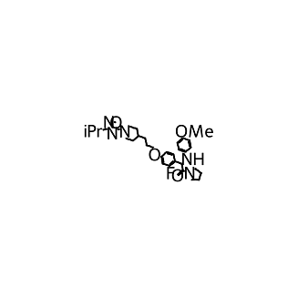 COc1ccc(NC(C(=O)N2CCCC2)c2ccc(OCCCC3CCN(c4nc(C(C)C)no4)CC3)cc2F)cc1